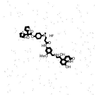 COc1cc(NC(=O)CCN(C)C2CCC(OC(=O)C(O)(c3cccs3)c3cccs3)CC2)ccc1CNC[C@H](O)c1ccc(O)c2[nH]c(=O)ccc12.F